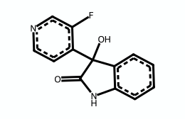 O=C1Nc2ccccc2C1(O)c1ccncc1F